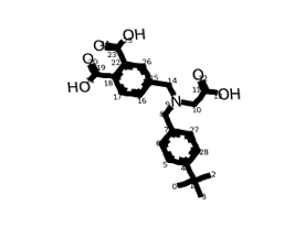 CC(C)(C)c1ccc(CN(CC(=O)O)Cc2ccc(C(=O)O)c(C(=O)O)c2)cc1